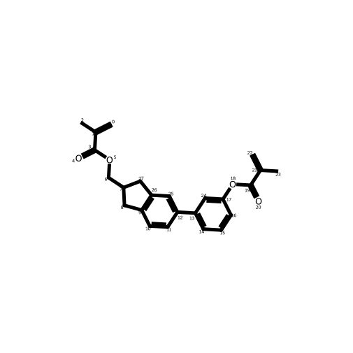 C=C(C)C(=O)OCC1Cc2ccc(-c3cccc(OC(=O)C(=C)C)c3)cc2C1